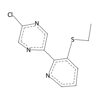 CCSc1cccnc1-c1cnc(Cl)cn1